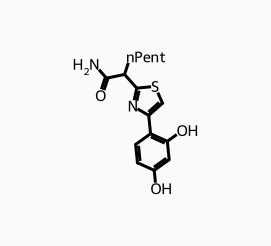 CCCCCC(C(N)=O)c1nc(-c2ccc(O)cc2O)cs1